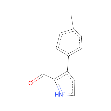 Cc1ccc(-c2cc[nH]c2C=O)cc1